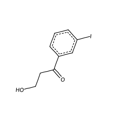 O=C(CCO)c1cccc(I)c1